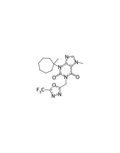 Cn1cnc2c1c(=O)n(Cc1nnc(C(F)(F)F)o1)c(=O)n2C1(C)CCCCCC1